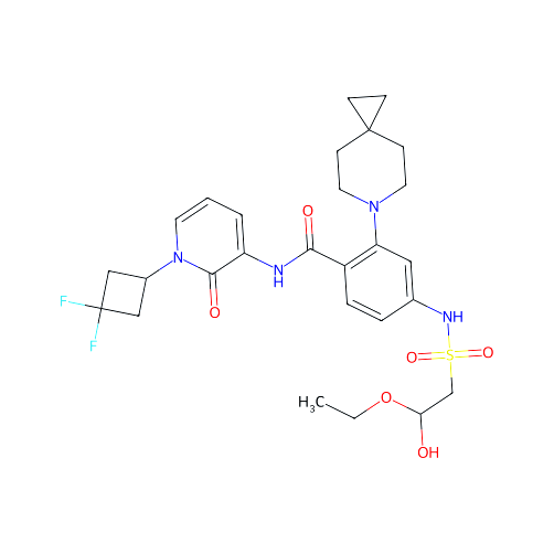 CCOC(O)CS(=O)(=O)Nc1ccc(C(=O)Nc2cccn(C3CC(F)(F)C3)c2=O)c(N2CCC3(CC2)CC3)c1